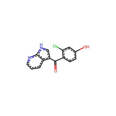 O=C(c1ccc(O)cc1Cl)c1c[nH]c2ncccc12